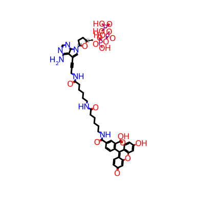 Nc1ncnc2c1c(C#CCNC(=O)CCCCCNC(=O)CCCCCNC(=O)c1ccc(-c3c4ccc(=O)cc-4oc4cc(O)ccc34)c(C(=O)O)c1)cn2[C@H]1CC[C@@H](COP(=O)(O)OP(=O)(O)OP(=O)(O)O)O1